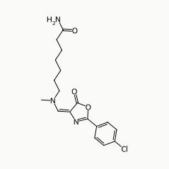 CN(C=C1N=C(c2ccc(Cl)cc2)OC1=O)CCCCCCC(N)=O